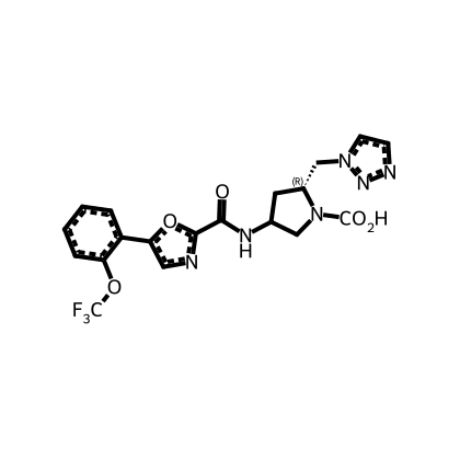 O=C(NC1C[C@H](Cn2ccnn2)N(C(=O)O)C1)c1ncc(-c2ccccc2OC(F)(F)F)o1